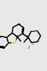 C[C@H]1CCCCC1(C)C1=CCCC2C3CCC=CC3SC12C